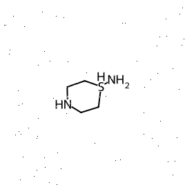 N[SH]1CCNCC1